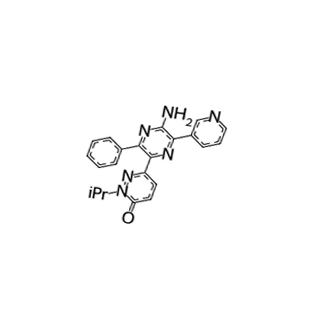 CC(C)n1nc(-c2nc(-c3cccnc3)c(N)nc2-c2ccccc2)ccc1=O